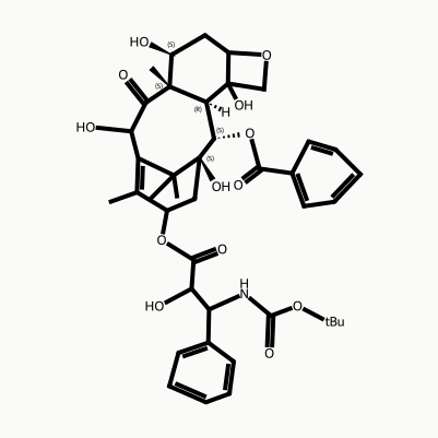 CC1=C2C(O)C(=O)[C@@]3(C)[C@H]([C@H](OC(=O)c4ccccc4)[C@](O)(CC1OC(=O)C(O)C(NC(=O)OC(C)(C)C)c1ccccc1)C2(C)C)C1(O)COC1C[C@@H]3O